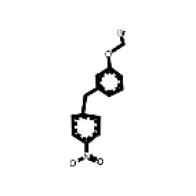 O=[N+]([O-])c1ccc(Cc2cccc(OCBr)c2)cc1